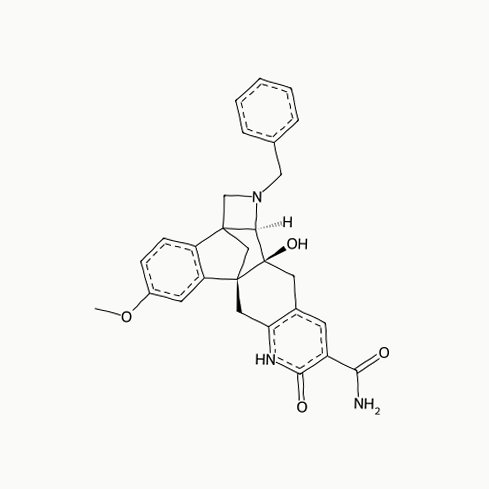 COc1ccc2c(c1)[C@@]13Cc4[nH]c(=O)c(C(N)=O)cc4C[C@@]1(O)[C@@H]1N(Cc4ccccc4)CC21C3